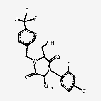 C[C@H]1C(=O)N(Cc2ccc(C(F)(F)F)cc2)C(CO)C(=O)N1c1ncc(Cl)cc1F